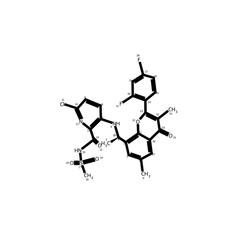 Cc1cc([C@@H](C)Nc2ccc(Cl)nc2C(=O)NS(C)(=O)=O)c2oc(-c3ccc(F)cc3F)c(C)c(=O)c2c1